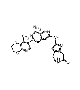 Cc1c(-c2cc3cc(Nc4cc5n(n4)CC(=O)NCC5)ncc3c(N)n2)cnc2c1NCCO2